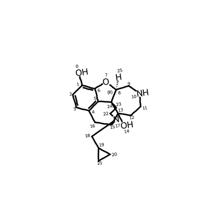 Oc1ccc2c3c1O[C@H]1CNCCC4(O)C(C2)N(CC2CC2)CCC314